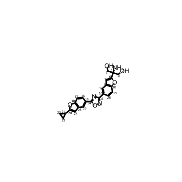 NC(CO)(CO)c1cc2cc(-c3noc(-c4ccc5oc(C6CC6)cc5c4)n3)ccc2o1